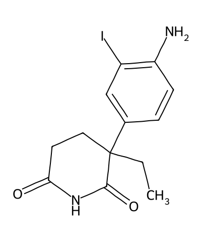 CCC1(c2ccc(N)c(I)c2)CCC(=O)NC1=O